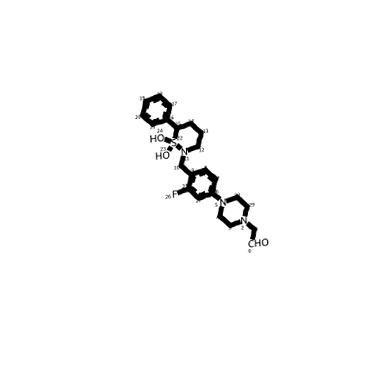 O=CCN1CCN(c2ccc(CN3CCCC(c4ccccc4)S3(O)O)c(F)c2)CC1